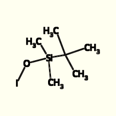 CC(C)(C)[Si](C)(C)OI